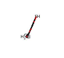 C[Si](Cl)(Cl)CCCCCCCCCCCCCCCCCCCCCCCCCS